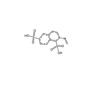 C=Nc1ccc2cc(S(=O)(=O)O)ccc2c1S(=O)(=O)O